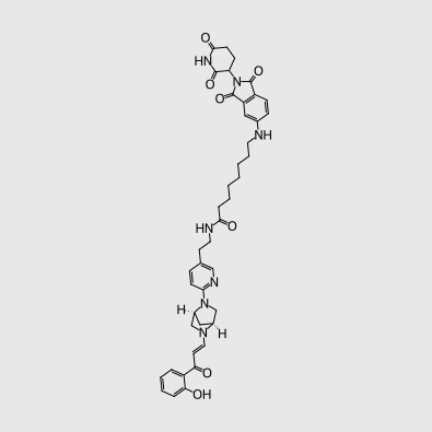 O=C(CCCCCCCNc1ccc2c(c1)C(=O)N(C1CCC(=O)NC1=O)C2=O)NCCc1ccc(N2C[C@@H]3C[C@H]2CN3/C=C/C(=O)c2ccccc2O)nc1